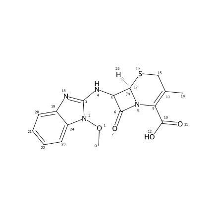 COn1c(NC2C(=O)N3C(C(=O)O)=C(C)CS[C@H]23)nc2ccccc21